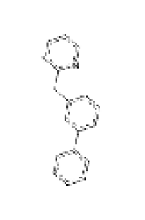 c1ccc(-c2cccc(Cc3ncccn3)c2)cc1